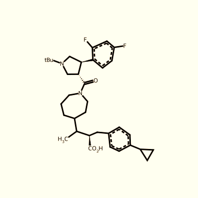 CC(C1CCCN(C(=O)[C@@H]2CN(C(C)(C)C)C[C@H]2c2ccc(F)cc2F)CC1)[C@@H](Cc1ccc(C2CC2)cc1)C(=O)O